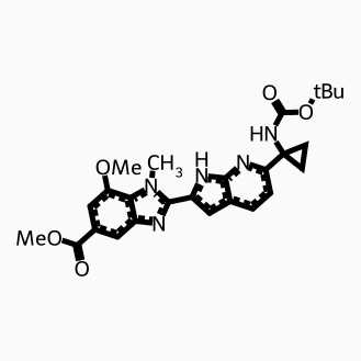 COC(=O)c1cc(OC)c2c(c1)nc(-c1cc3ccc(C4(NC(=O)OC(C)(C)C)CC4)nc3[nH]1)n2C